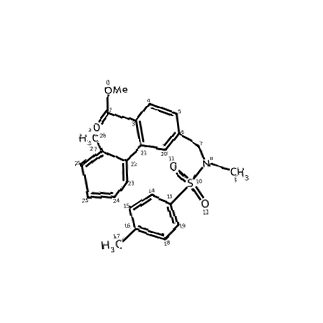 COC(=O)c1ccc(CN(C)S(=O)(=O)c2ccc(C)cc2)cc1-c1ccccc1C